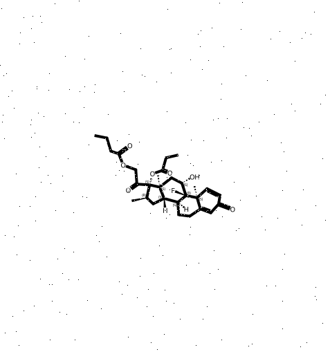 CCCC(=O)OCC(=O)[C@]1(OC(=O)CC)[C@H](C)C[C@H]2[C@@H]3CCC4=CC(=O)C=C[C@]4(C)[C@@]3(F)[C@@H](O)C[C@@]21C